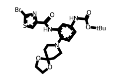 CC(C)(C)OC(=O)Nc1ccc(N2CCC3(CC2)OCCO3)c(NC(=O)c2csc(Br)n2)c1